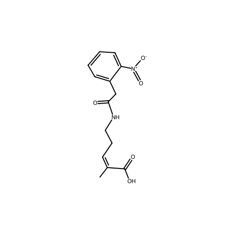 CC(=CCCNC(=O)Cc1ccccc1[N+](=O)[O-])C(=O)O